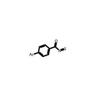 CC(=O)c1ccc(C(=O)N=S)cc1